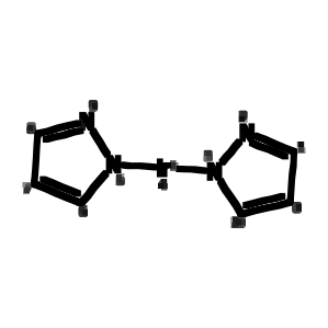 c1cn[n]([Ir+][n]2cccn2)c1